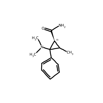 CC1[C@H](C(N)=O)C1(c1ccccc1)N(C)C